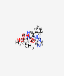 CC(C)C[C@H](NC(=O)[C@]1(NC(=O)c2cnccn2)C[C@H]1c1ccccc1)B(O)O